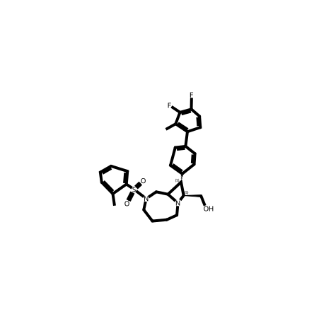 Cc1ccccc1S(=O)(=O)N1CCCCN2C(C1)[C@H](c1ccc(-c3ccc(F)c(F)c3C)cc1)[C@H]2CO